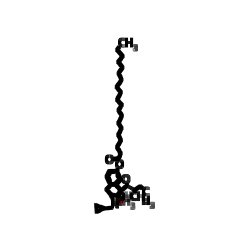 C=C(CC)[C@@H]1Oc2c(OC(=O)CCCCCCCCCCCCCCCCCCC)ccc3c2[C@@]12CCN(CC1CC1)C(C3)[C@@]2(C)O